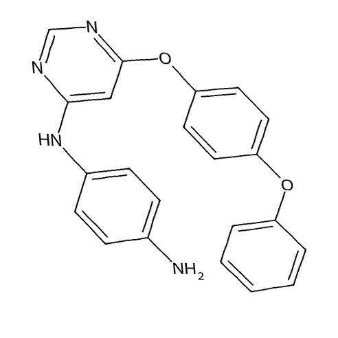 Nc1ccc(Nc2cc(Oc3ccc(Oc4ccccc4)cc3)ncn2)cc1